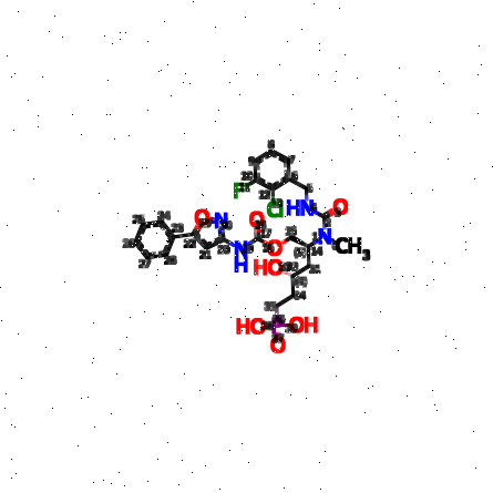 CN(C(=O)NCc1cccc(F)c1Cl)[C@H](COC(=O)Nc1cc(-c2ccccc2)on1)C[C@@H](O)CCP(=O)(O)O